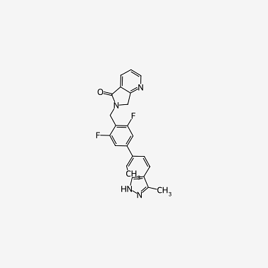 C/C=C(\C=C/c1c[nH]nc1C)c1cc(F)c(CN2Cc3ncccc3C2=O)c(F)c1